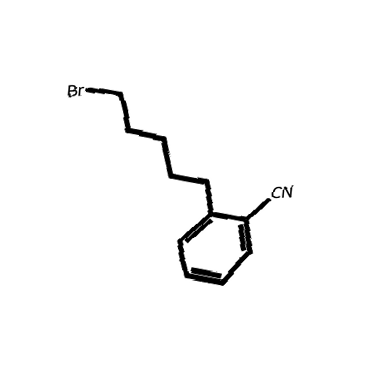 N#Cc1ccccc1CCCCCBr